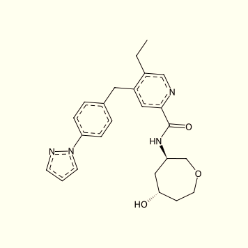 CCc1cnc(C(=O)N[C@H]2COCC[C@H](O)C2)cc1Cc1ccc(-n2cccn2)cc1